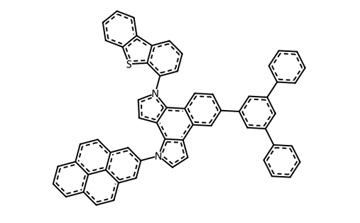 c1ccc(-c2cc(-c3ccccc3)cc(-c3ccc4c(c3)c3ccn(-c5cc6ccc7cccc8ccc(c5)c6c78)c3c3ccn(-c5cccc6c5sc5ccccc56)c43)c2)cc1